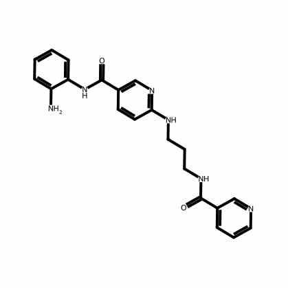 Nc1ccccc1NC(=O)c1ccc(NCCCNC(=O)c2cccnc2)nc1